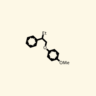 CCC(COc1ccc(OC)cc1)c1ccccc1